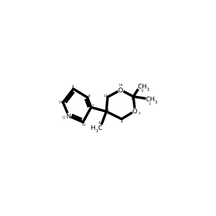 CC1(C)OCC(C)(c2cccnc2)CO1